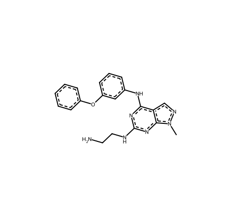 Cn1ncc2c(Nc3cccc(Oc4ccccc4)c3)nc(NCCN)nc21